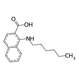 CCCCCCNc1c(C(=O)O)ccc2ccccc12